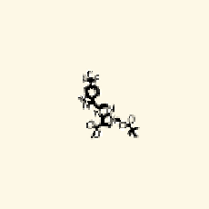 COC(=O)c1cn(COC(=O)C(C)(C)C)c2ncc(-c3nn(C)c4cc(C(F)(F)F)ccc34)nc12